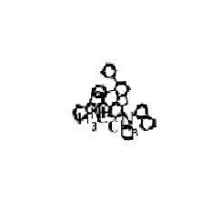 Cc1c(C)c(N(c2ccccc2)c2cccc3ccccc23)c2c(c1-c1cccc3c1[nH]c1ccccc13)-c1c(ccc(-c3ccccc3)c1-c1ccccc1)C2